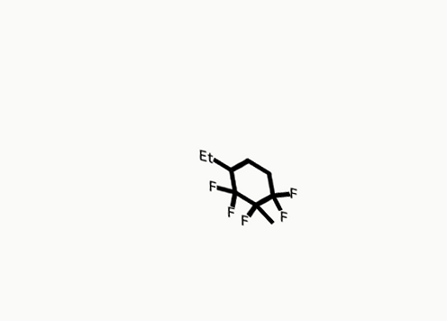 CCC1CCC(F)(F)C(C)(F)C1(F)F